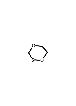 C1COSCO1